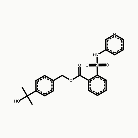 CC(C)(O)c1ccc(COC(=O)c2ccccc2S(=O)(=O)Nc2cccnc2)cc1